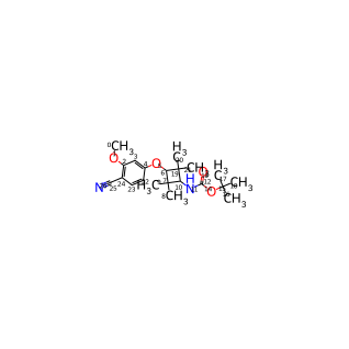 COc1cc(OC2C(C)(C)C(NC(=O)OC(C)(C)C)C2(C)C)ccc1C#N